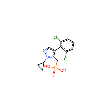 O=P(O)(O)Cc1c(-c2c(Cl)cccc2Cl)cnn1C1CC1